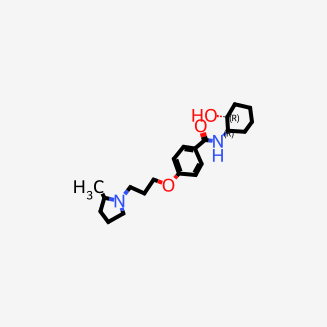 CC1CCCN1CCCOc1ccc(C(=O)N[C@@H]2CCCC[C@H]2O)cc1